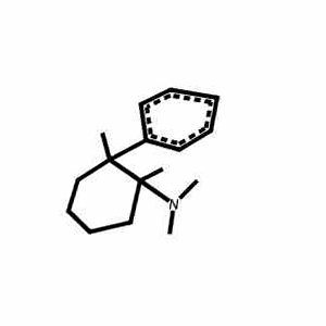 CN(C)C1(C)CCCCC1(C)c1ccccc1